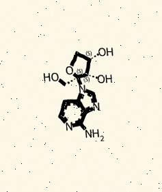 Nc1nccc2c1ncn2[C@@]1(CO)OC[C@H](O)[C@@H]1O